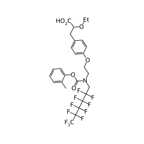 CCOC(Cc1ccc(OCCN(CC(F)(F)C(F)(F)C(F)(F)C(F)(F)C(F)(F)F)C(=O)Oc2ccccc2C)cc1)C(=O)O